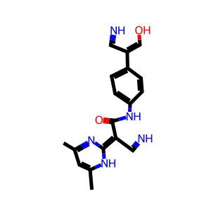 CC1=CC(C)=N/C(=C(/C=N)C(=O)Nc2ccc(/C(C=N)=C/O)cc2)N1